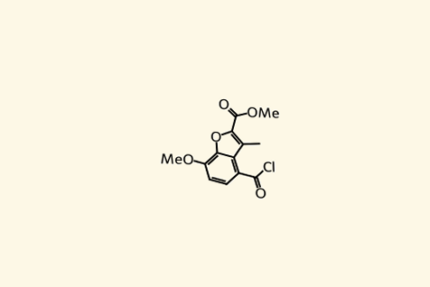 COC(=O)c1oc2c(OC)ccc(C(=O)Cl)c2c1C